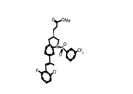 COC(=O)CC[C@@H]1Cc2ccc(/C(C)=C/c3c(F)cccc3Cl)cc2N(S(=O)(=O)c2cccc(C(F)(F)F)c2)C1